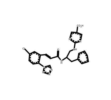 O=C(/C=C/c1cc(Cl)ccc1-n1cnnn1)NC(CNc1ncc(C(=O)O)cn1)Cc1ccccc1